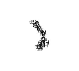 CC(C)(C)OC(=O)C(C)(C)N1CCC(c2ncc(-c3ccc(NC(=O)Nc4ccccc4F)cc3)s2)CC1